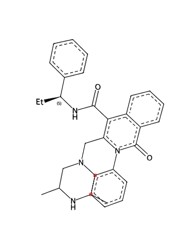 CC[C@H](NC(=O)c1c(CN2CC(C)NC(C)C2)n(-c2ccccc2)c(=O)c2ccccc12)c1ccccc1